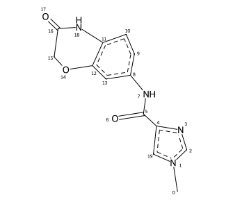 Cn1cnc(C(=O)Nc2ccc3c(c2)OCC(=O)N3)c1